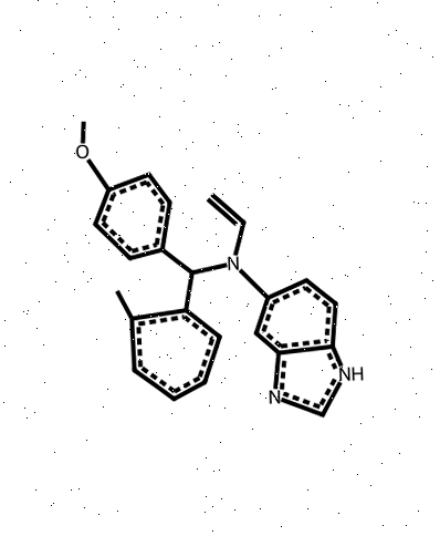 C=CN(c1ccc2[nH]cnc2c1)C(c1ccc(OC)cc1)c1ccccc1C